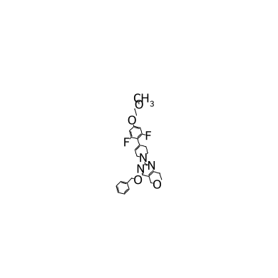 COCCOc1cc(F)c(C2=CCN(c3nc4c(c(OCc5ccccc5)n3)COCC4)CC2)c(F)c1